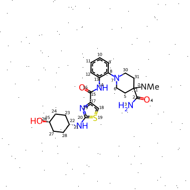 CNC1(C(N)=O)CCN(c2ccccc2NC(=O)c2csc(N[C@H]3CC[C@H](O)CC3)n2)CC1